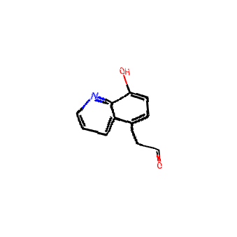 O=CCc1ccc(O)c2ncccc12